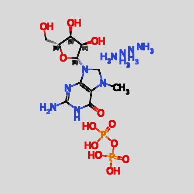 CN1CN([C@@H]2O[C@H](CO)[C@@H](O)[C@H]2O)c2nc(N)[nH]c(=O)c21.N.N.N.N.O=P(O)(O)OP(=O)(O)O